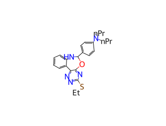 CCCN(CCC)c1ccc(C2Nc3ccccc3-c3nnc(SCC)nc3O2)cc1